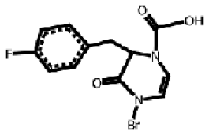 O=C1C(Cc2ccc(F)cc2)N(C(=O)O)C=CN1Br